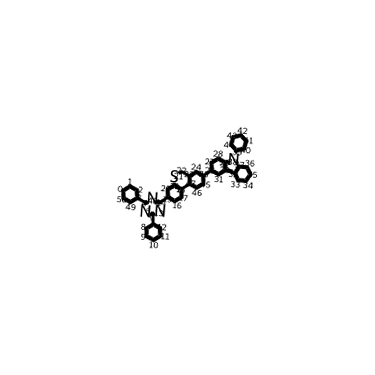 c1ccc(-c2nc(-c3ccccc3)nc(-c3ccc4c(c3)SCc3cc(-c5ccc6c(c5)c5ccccc5n6-c5ccccc5)ccc3-4)n2)cc1